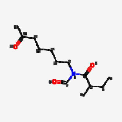 CCC(C)C(=O)N(C=O)CCCCCC(C)=O